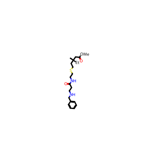 CCC(C)(CCSCCNC(=O)CCNCc1ccccc1)CC(=O)OC